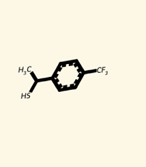 CC(S)c1ccc(C(F)(F)F)cc1